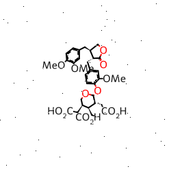 COc1ccc(C[C@H]2COC(=O)[C@@H]2Cc2ccc(O[C@@H]3OC[C@H](CC(=O)O)[C@H](CC(=O)O)[C@H]3CC(=O)O)c(OC)c2)cc1OC